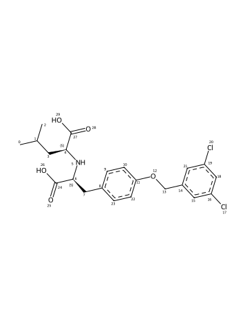 CC(C)C[C@H](N[C@@H](Cc1ccc(OCc2cc(Cl)cc(Cl)c2)cc1)C(=O)O)C(=O)O